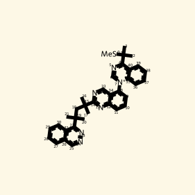 CSC(C)(C)c1nc[n+](-c2cccc3nc(C(C)(C)CC(C)(C)c4nncc5ccccc45)ncc23)c2ccccc12